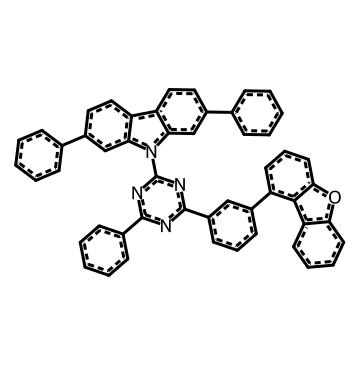 c1ccc(-c2ccc3c4ccc(-c5ccccc5)cc4n(-c4nc(-c5ccccc5)nc(-c5cccc(-c6cccc7oc8ccccc8c67)c5)n4)c3c2)cc1